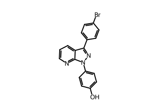 Oc1ccc(-n2nc(-c3ccc(Br)cc3)c3cccnc32)cc1